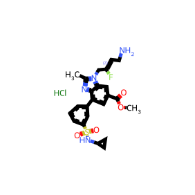 COC(=O)c1cc(-c2cccc(S(=O)(=O)NC3CC3)c2)c2nc(C)n(C/C(F)=C/CN)c2c1.Cl